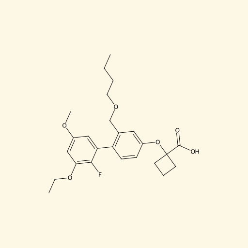 CCCCOCc1cc(OC2(C(=O)O)CCC2)ccc1-c1cc(OC)cc(OCC)c1F